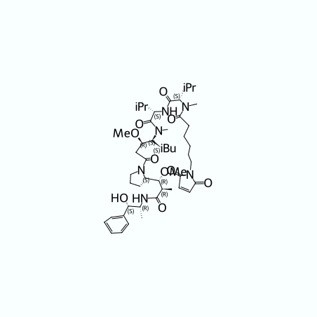 CC[C@H](C)[C@@H]([C@@H](CC(=O)N1CCC[C@H]1[C@H](OC)[C@@H](C)C(=O)N[C@H](C)[C@@H](O)c1ccccc1)OC)N(C)C(=O)[C@@H](NC(=O)[C@H](C(C)C)N(C)C(=O)CCCCCN1C(=O)C=CC1=O)C(C)C